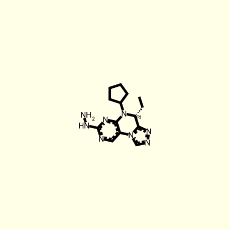 CC[C@@H]1c2nncn2-c2cnc(NN)nc2N1C1CCCC1